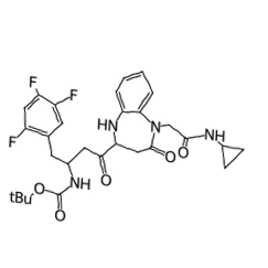 CC(C)(C)OC(=O)NC(CC(=O)C1CC(=O)N(CC(=O)NC2CC2)c2ccccc2N1)Cc1cc(F)c(F)cc1F